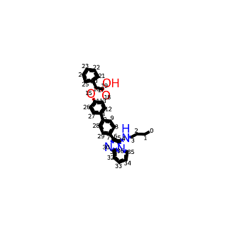 CCCCNc1c(-c2ccc(-c3ccc(OC(C(=O)O)c4ccccc4)cc3)cc2)nc2ccccn12